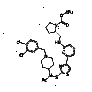 CC(=O)N(Sc1nc(-c2cccc(NC[C@@H]3CCCN3C(=O)OC(C)(C)C)c2)cs1)C1CCN(Cc2ccc(Cl)c(Cl)c2)CC1